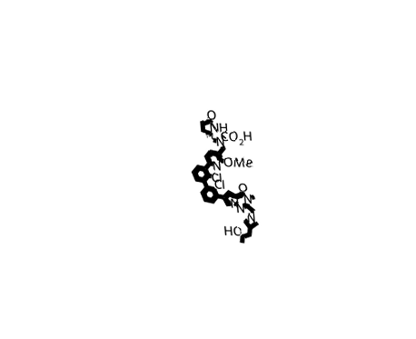 COc1nc(-c2cccc(-c3cccc(-c4cc5c(=O)n(C)c(CN6CC(CC(C)O)C6)nn5c4)c3Cl)c2Cl)ccc1CN(C[C@@H]1CCC(=O)N1)C(=O)O